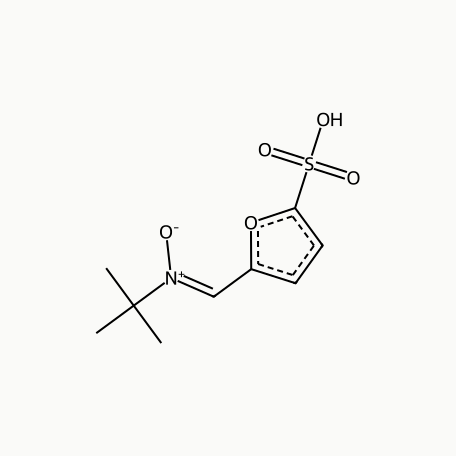 CC(C)(C)[N+]([O-])=Cc1ccc(S(=O)(=O)O)o1